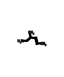 CN=NC(C)CN